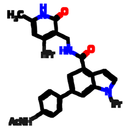 CCCc1cc(C)[nH]c(=O)c1CNC(=O)c1cc(-c2ccc(NC(C)=O)cc2)cc2c1ccn2C(C)C